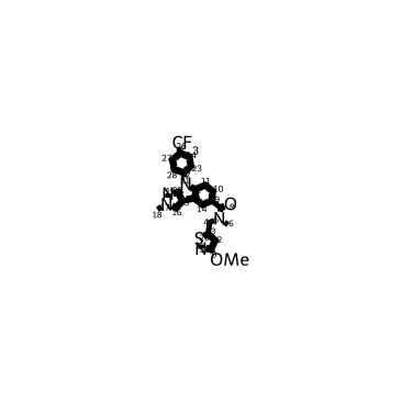 COc1cc(CN(C)C(=O)c2ccc3c(c2)c2cn(C)nc2n3-c2ccc(C(F)(F)F)cc2)sn1